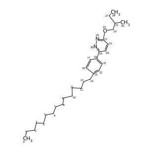 CCCCCCCCCCCCCCCc1ccc(-c2ccc(OCC(C)CC)nn2)cc1